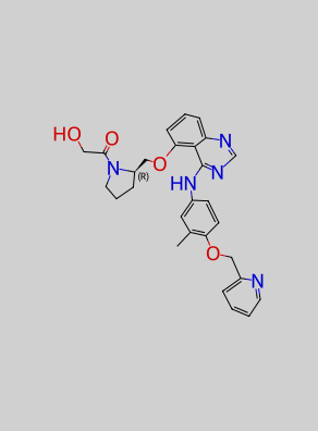 Cc1cc(Nc2ncnc3cccc(OC[C@H]4CCCN4C(=O)CO)c23)ccc1OCc1ccccn1